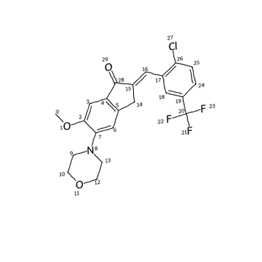 COc1cc2c(cc1N1CCOCC1)CC(=Cc1cc(C(F)(F)F)ccc1Cl)C2=O